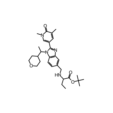 CCC(NCc1ccc2c(c1)nc(-c1cc(C)c(=O)n(C)c1)n2C(C)C1CCOCC1)C(=O)OC(C)(C)C